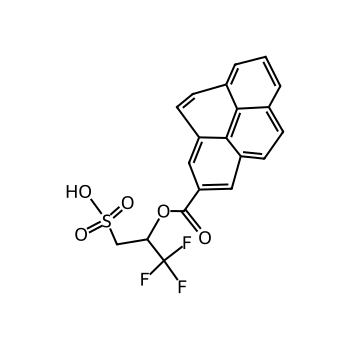 O=C(OC(CS(=O)(=O)O)C(F)(F)F)c1cc2ccc3cccc4ccc(c1)c2c34